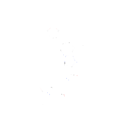 O=C(c1nc2c(C(F)(F)F)cc(-c3ccoc3)cn2c1Cl)N1CC[C@@H](N2CCOC2=O)[C@H](O)C1